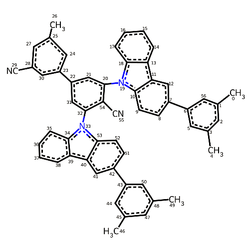 Cc1cc(C)cc(-c2ccc3c(c2)c2ccccc2n3-c2cc(-c3cc(C)cc(C#N)c3)cc(-n3c4ccccc4c4cc(-c5cc(C)cc(C)c5)ccc43)c2C#N)c1